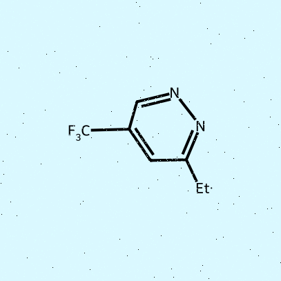 C[CH]c1cc(C(F)(F)F)cnn1